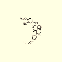 COc1ccc(NC(=O)c2cnn3c2C(=O)N(c2ccc([C@@H]4C[C@H]4C(F)(F)F)cc2)[C@@H](C)C3)cc1C#N